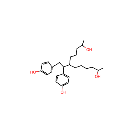 CC(O)CCCCC(CCCC(C)O)C(Cc1ccc(O)cc1)c1ccc(O)cc1